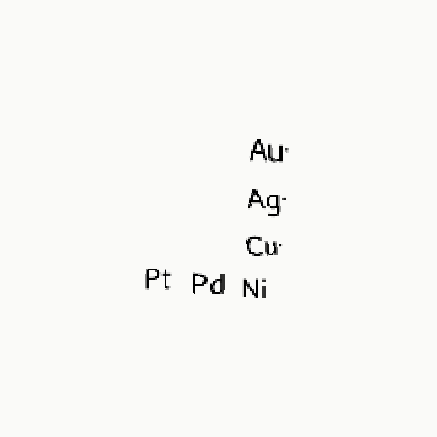 [Ag].[Au].[Cu].[Ni].[Pd].[Pt]